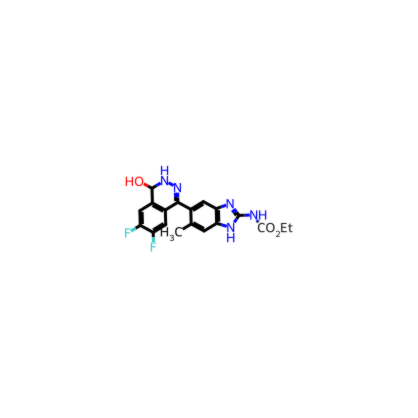 CCOC(=O)Nc1nc2cc(C3=NNC(O)c4cc(F)c(F)cc43)c(C)cc2[nH]1